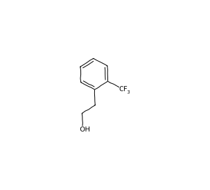 OCCc1ccccc1C(F)(F)F